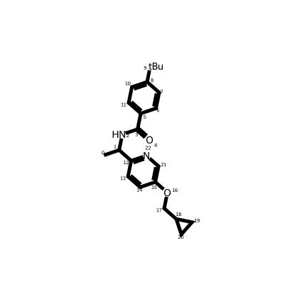 CC(NC(=O)c1ccc(C(C)(C)C)cc1)c1ccc(OCC2CC2)cn1